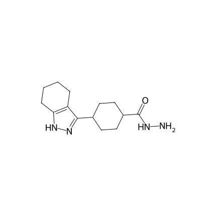 NNC(=O)C1CCC(c2n[nH]c3c2CCCC3)CC1